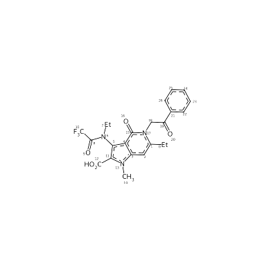 CCc1cc2c(c(N(CC)C(=O)C(F)(F)F)c(C(=O)O)n2C)c(=O)n1CC(=O)c1ccccc1